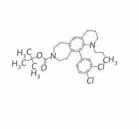 CCCN1CCCc2cc3c(c(-c4ccc(Cl)c(Cl)c4)c21)CCN(C(=O)OC(C)(C)C)CC3